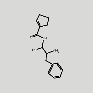 NC(Cc1ccccc1)C(O)NC(=O)C1=CCCC1